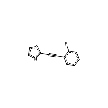 Fc1ccccc1C#Cc1nccs1